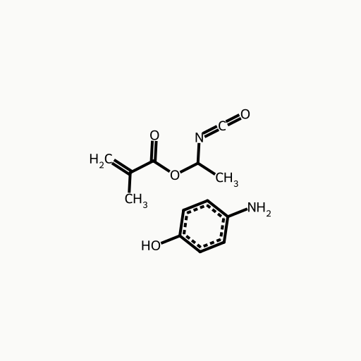 C=C(C)C(=O)OC(C)N=C=O.Nc1ccc(O)cc1